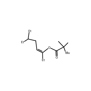 CC/C(=C/CC(CC)CC)OC(=O)C(C)(C)C(C)(C)C